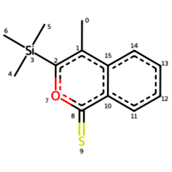 Cc1c([Si](C)(C)C)oc(=S)c2ccccc12